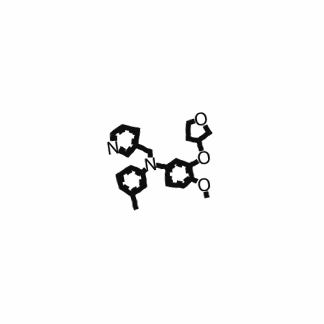 COc1ccc(N(Cc2cccnc2)c2cccc(C)c2)cc1OC1CCOC1